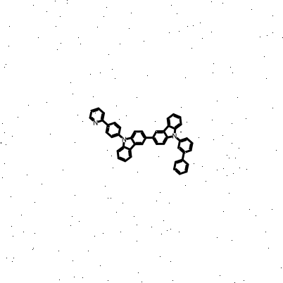 c1ccc(-c2cccc(-n3c4ccccc4c4cc(-c5ccc6c(c5)c5ccccc5n6-c5ccc(-c6ccccn6)cc5)ccc43)c2)cc1